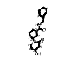 O=C(NCc1ccccc1)c1ccnc(-n2ccc(O)cc2=O)c1